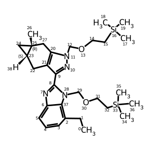 CCc1cccc2nc(-c3nn(COCC[Si](C)(C)C)c4c3C[C@@H]3C[C@]3(C)C4)n(COCC[Si](C)(C)C)c12